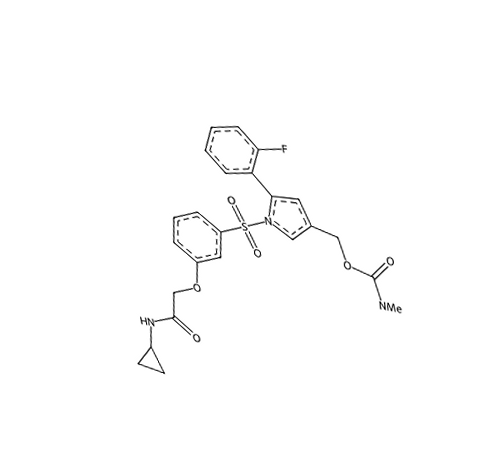 CNC(=O)OCc1cc(-c2ccccc2F)n(S(=O)(=O)c2cccc(OCC(=O)NC3CC3)c2)c1